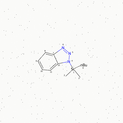 CCCC[Si](C)(C)n1nnc2ccccc21